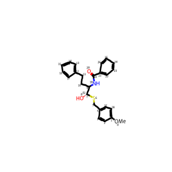 COc1ccc(CS[C@H](O)C(CCc2ccccc2)NC(=O)c2ccccc2)cc1